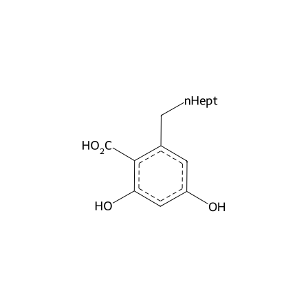 CCCCCCCCc1cc(O)cc(O)c1C(=O)O